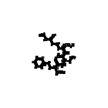 CCCCOC(=O)COC[C@H](NC(=O)[C@H](CC(C)C)NC(=O)[C@H](CCc1ccccc1)NC(C)=O)C(=O)O